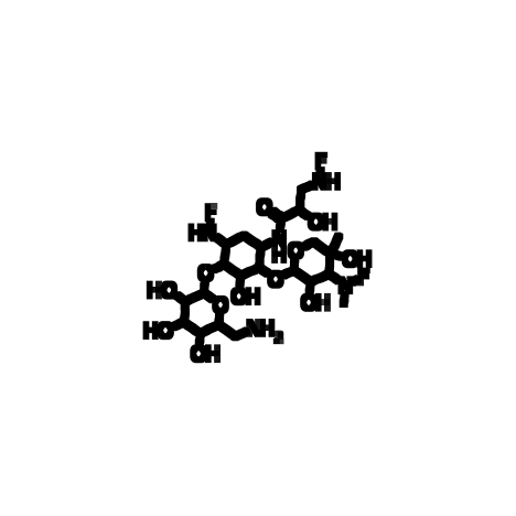 CN(F)C1C(O)C(OC2C(NC(=O)C(O)CNF)CC(NF)C(OC3OC(CN)C(O)C(O)C3O)C2O)OCC1(C)O